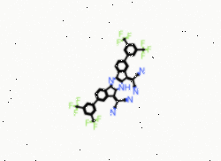 N#CC(C#N)=C1C2=C(N=C3c4ccc(-c5cc(C(F)(F)F)cc(C(F)(F)F)c5)cc4C(=C(C#N)C#N)C3N2)c2ccc(-c3cc(C(F)(F)F)cc(C(F)(F)F)c3)cc21